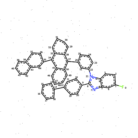 Fc1ccc2c(c1)nc(-c1ccc(-c3ccccc3)cc1)n2-c1cccc(-c2c3ccccc3c(-c3ccc4ccccc4c3)c3ccccc23)c1